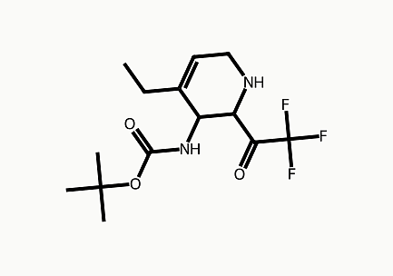 CCC1=CCNC(C(=O)C(F)(F)F)C1NC(=O)OC(C)(C)C